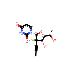 CC#CC1(F)[C@@H](O)[C@@H]([C@H](C)O)O[C@H]1n1ccc(=O)[nH]c1=O